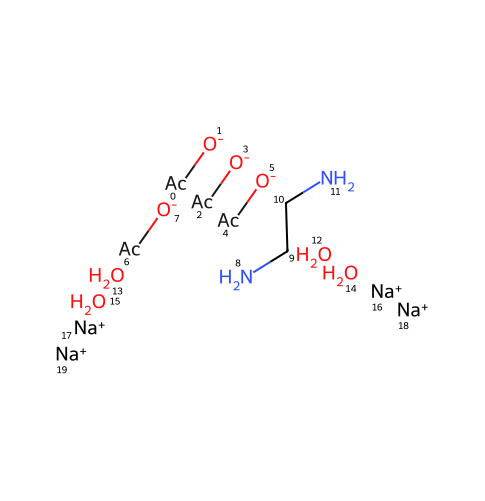 CC(=O)[O-].CC(=O)[O-].CC(=O)[O-].CC(=O)[O-].NCCN.O.O.O.O.[Na+].[Na+].[Na+].[Na+]